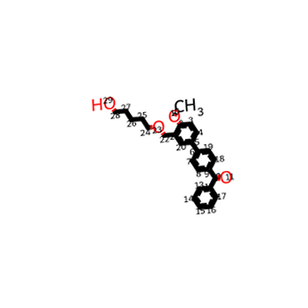 COc1ccc(-c2ccc(C(=O)c3ccccc3)cc2)cc1COCCCCCO